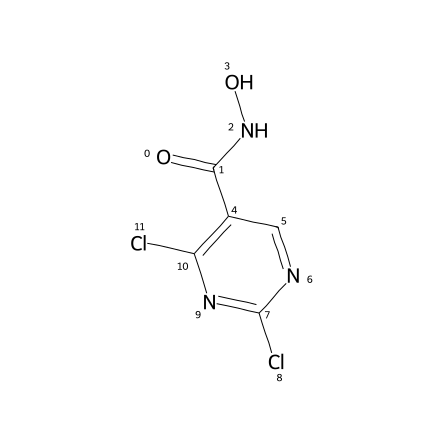 O=C(NO)c1cnc(Cl)nc1Cl